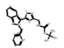 CC(C)(C)OC(=O)NCc1noc(-c2c3ccccc3nn2Cc2ccccn2)n1